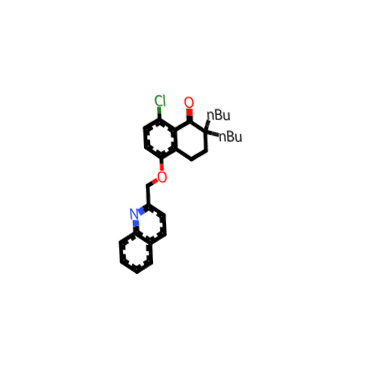 CCCCC1(CCCC)CCc2c(OCc3ccc4ccccc4n3)ccc(Cl)c2C1=O